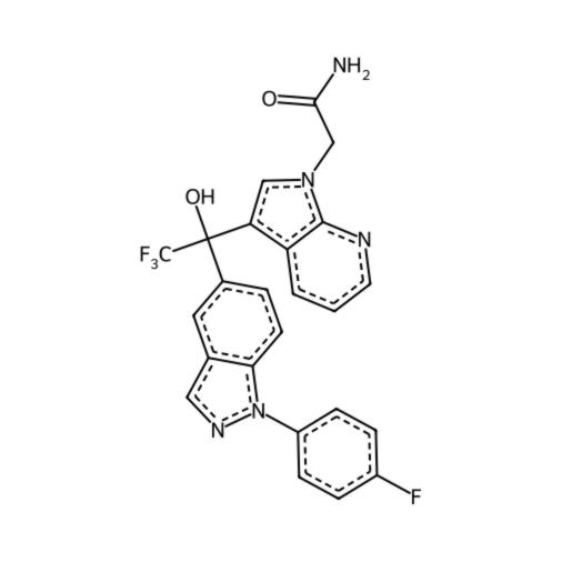 NC(=O)Cn1cc(C(O)(c2ccc3c(cnn3-c3ccc(F)cc3)c2)C(F)(F)F)c2cccnc21